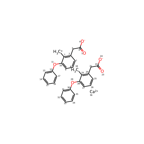 Cc1c(CC(=O)[O-])cccc1Oc1ccccc1.Cc1c(CC(=O)[O-])cccc1Oc1ccccc1.[Ca+2]